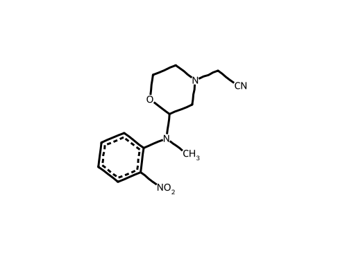 CN(c1ccccc1[N+](=O)[O-])C1CN(CC#N)CCO1